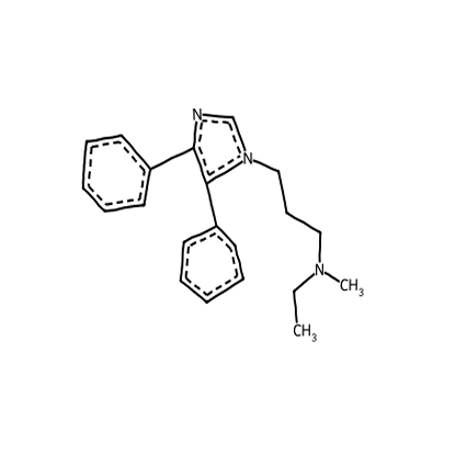 CCN(C)CCCn1cnc(-c2ccccc2)c1-c1ccccc1